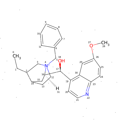 CCC1C[N+]2(Cc3ccccc3)CCC1C[C@@H]2[C@@H](O)c1ccnc2ccc(OC)cc12